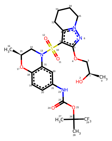 C[C@@H](O)COc1nn2c(c1S(=O)(=O)N1C[C@H](C)Oc3ccc(NC(=O)OC(C)(C)C(F)(F)F)cc31)CCCC2